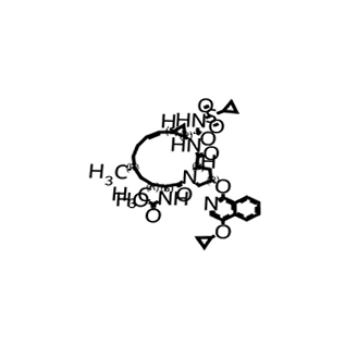 C[C@@H]1CCC=C[C@@H]2C[C@@]2(C(=O)NS(=O)(=O)C2CC2)NC(=O)[C@@H]2C[C@@H](Oc3ncc(OC4CC4)c4ccccc34)CN2C(=O)[C@@H](NC(=O)O)[C@H](C)C1